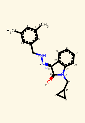 Cc1cc(C)cc(CN/N=C2/C(=O)N(CC3CC3)c3ccccc32)c1